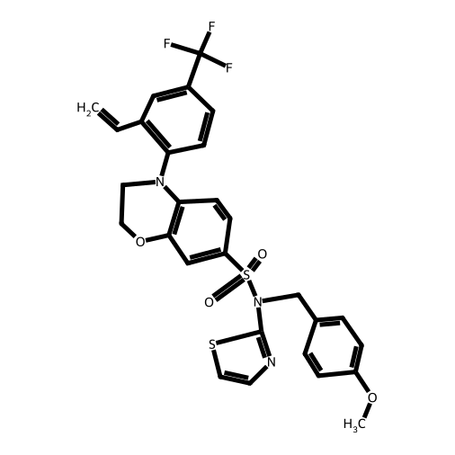 C=Cc1cc(C(F)(F)F)ccc1N1CCOc2cc(S(=O)(=O)N(Cc3ccc(OC)cc3)c3nccs3)ccc21